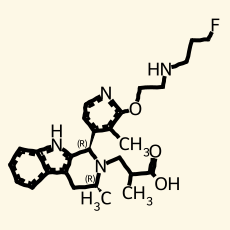 Cc1c([C@@H]2c3[nH]c4ccccc4c3C[C@@H](C)N2CC(C)C(=O)O)ccnc1OCCNCCCF